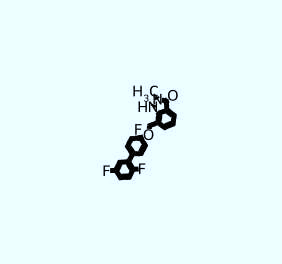 Cn1[nH]c2c(COC3(F)C=CC(c4cc(F)ccc4F)=CC3)cccc2c1=O